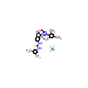 Cc1cc(C)c(-[n+]2cn3c(n2)CO[C@H]2Cc4ccc(NC(=S)Nc5cc(C(F)(F)F)cc(C(F)(F)F)c5)cc4[C@H]23)c(C)c1.F[B-](F)(F)F